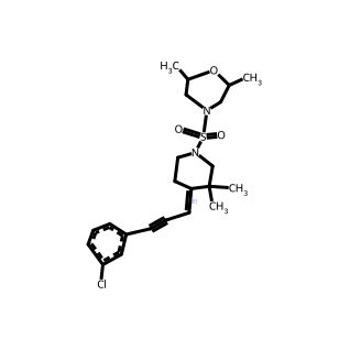 CC1CN(S(=O)(=O)N2CC/C(=C\C#Cc3cccc(Cl)c3)C(C)(C)C2)CC(C)O1